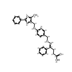 Cc1oc(-c2ccccc2)nc1COc1ccc(CON=C(CCC(=O)O)c2ccccc2)cn1